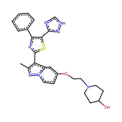 Cc1nn2ccc(OCCN3CCC(O)CC3)cc2c1-c1nc(-c2ccccc2)c(-c2nc[nH]n2)s1